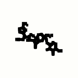 Cn1c(SCC2(C(=O)O)CS[C@@H]3C(NC(=O)C(=NO)c4csc(N)n4)C(=O)N3C2)nnc(O)c1=O